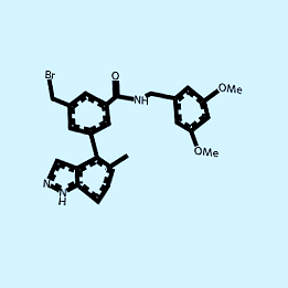 COc1cc(CNC(=O)c2cc(CBr)cc(-c3c(C)ccc4[nH]ncc34)c2)cc(OC)c1